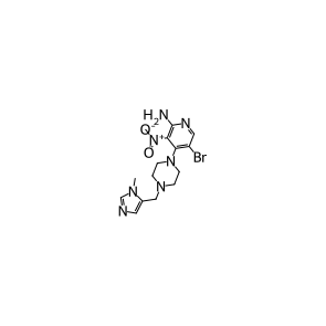 Cn1cncc1CN1CCN(c2c(Br)cnc(N)c2[N+](=O)[O-])CC1